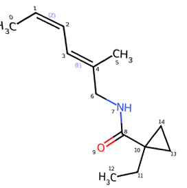 C/C=C\C=C(/C)CNC(=O)C1(CC)CC1